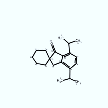 CC(C)c1ccc(C(C)C)c2c1CC1(CCCCC1)C2=O